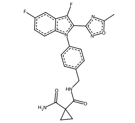 Cc1nc(-c2c(F)c3cc(F)ccc3n2-c2ccc(CNC(=O)C3(C(N)=O)CC3)cc2)no1